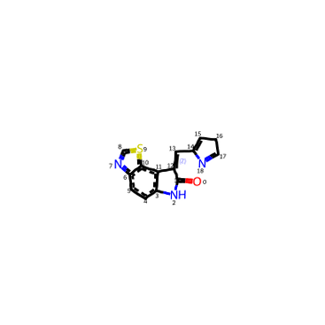 O=C1Nc2ccc3ncsc3c2/C1=C/C1=CCC=N1